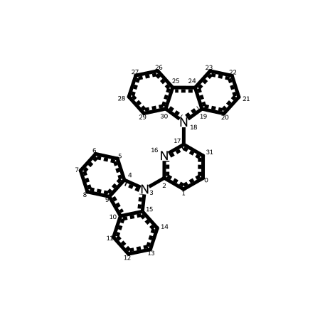 c1cc(-n2c3ccccc3c3ccccc32)nc(-n2c3ccccc3c3ccccc32)c1